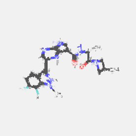 C[C@@H](NC(=O)c1c[nH]c2ncc(-c3nn(C)c4c(F)c(F)ccc34)nc12)C(=O)N1CC(C#N)C1